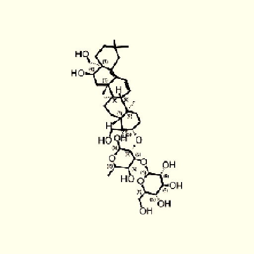 C[C@H]1O[C@@H](O)[C@H](O[C@H]2CC[C@@]3(C)[C@@H](CC[C@]4(C)[C@@H]3C=CC3=C5CC(C)(C)CC[C@]5(CO)[C@H](O)C[C@]34C)[C@]2(C)CO)[C@@H](O[C@@H]2O[C@H](CO)[C@@H](O)[C@H](O)[C@H]2O)[C@H]1O